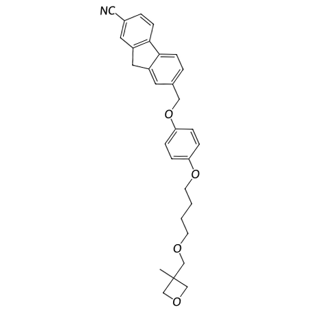 CC1(COCCCCOc2ccc(OCc3ccc4c(c3)Cc3cc(C#N)ccc3-4)cc2)COC1